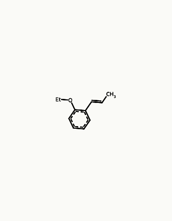 CC=Cc1ccccc1OCC